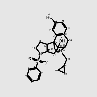 O=S(=O)(c1ccccc1)N1CCC2C1CC1(O)C3Cc4ccc(O)cc4C21CCN3CC1CC1